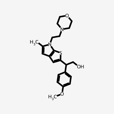 COc1ccc(C(CO)c2cc3cc(C)n(CCN4CCOCC4)c3s2)cc1